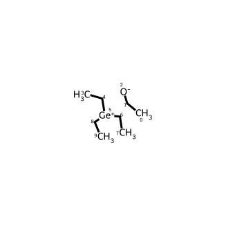 CC[O-].C[CH2][Ge+]([CH2]C)[CH2]C